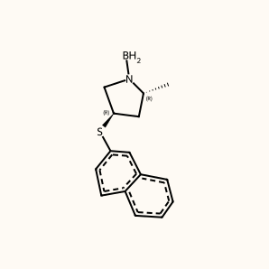 BN1C[C@H](Sc2ccc3ccccc3c2)C[C@H]1C